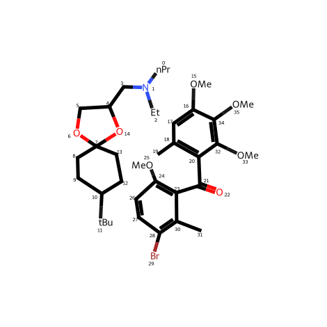 CCCN(CC)CC1COC2(CCC(C(C)(C)C)CC2)O1.COc1cc(C)c(C(=O)c2c(OC)ccc(Br)c2C)c(OC)c1OC